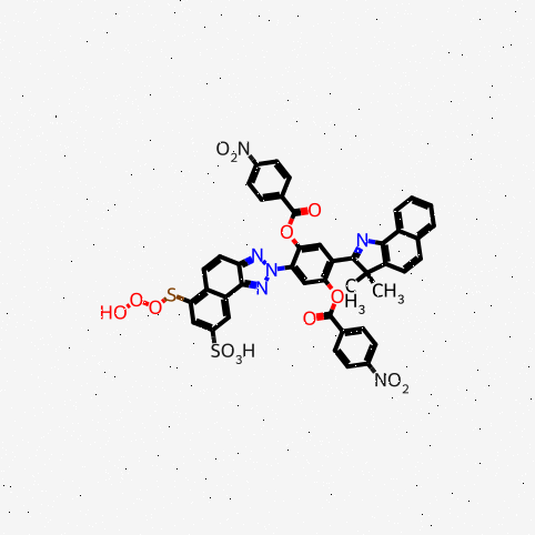 CC1(C)C(c2cc(OC(=O)c3ccc([N+](=O)[O-])cc3)c(-n3nc4ccc5c(SOOO)cc(S(=O)(=O)O)cc5c4n3)cc2OC(=O)c2ccc([N+](=O)[O-])cc2)=Nc2c1ccc1ccccc21